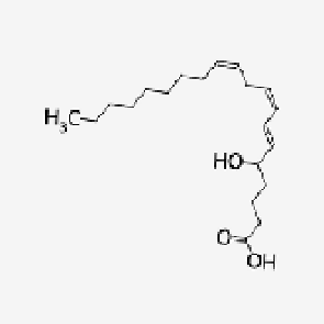 CCCCCCCC/C=C\C/C=C\C=C\C(O)CCCC(=O)O